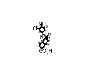 Nc1ccc(N2N=C3c4ccc(C(=O)O)cc4OC[C@H]3[C@H]2I)cc1Cl